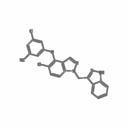 N#Cc1cc(Cl)cc(Oc2c(Cl)ccc3c2cnn3Cc2n[nH]c3ccccc23)c1